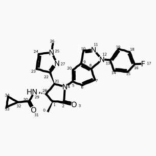 C[C@@H]1C(=O)N(c2ccc3c(cnn3-c3ccc(F)cc3)c2)[C@H](c2ccn(C)n2)[C@H]1NC(=O)C1CC1